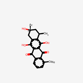 COc1cccc2c1C(=O)c1c(O)c3c(c(O)c1C2=O)C[C@@](O)(C(C)=O)CC3C